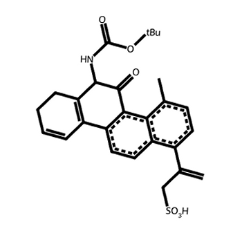 C=C(CS(=O)(=O)O)c1ccc(C)c2c3c(ccc12)C1=C(CCC=C1)C(NC(=O)OC(C)(C)C)C3=O